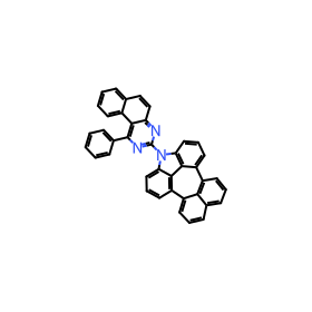 c1ccc(-c2nc(-n3c4cccc5c4c4c(cccc43)-c3cccc4cccc-5c34)nc3ccc4ccccc4c23)cc1